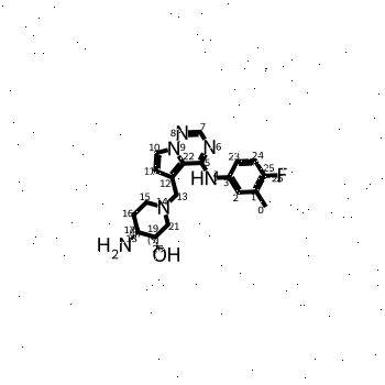 Cc1cc(Nc2ncnn3ccc(CN4CC[C@@H](N)[C@@H](O)C4)c23)ccc1F